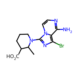 CC1C(C(=O)O)CCCN1c1nc(Br)c2c(N)nccn12